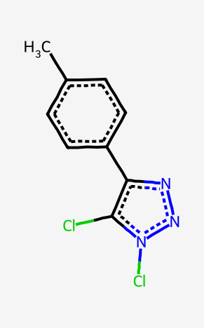 Cc1ccc(-c2nnn(Cl)c2Cl)cc1